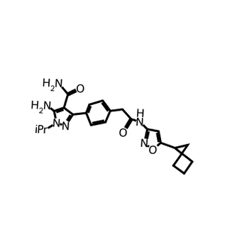 CC(C)n1nc(-c2ccc(CC(=O)Nc3cc(C4CC45CCC5)on3)cc2)c(C(N)=O)c1N